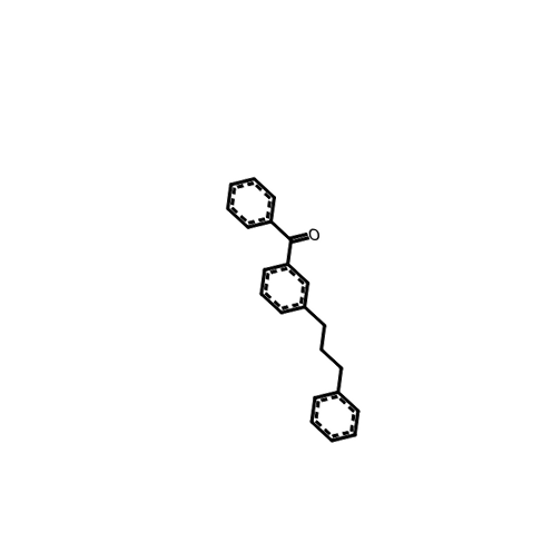 O=C(c1ccccc1)c1cccc(CCCc2ccccc2)c1